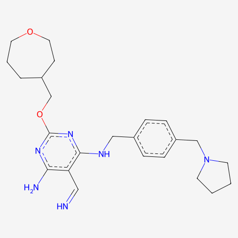 N=Cc1c(N)nc(OCC2CCCOCC2)nc1NCc1ccc(CN2CCCC2)cc1